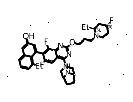 CCc1cccc2cc(O)cc(-c3c(F)cc4c(N5CC6CCC(C5)N6)nc(OCCCN5CC[C@@H](F)C[C@@H]5CC)nc4c3F)c12